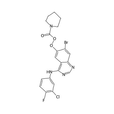 O=C(OOc1cc2c(Nc3ccc(F)c(Cl)c3)ncnc2cc1Br)N1CCCCC1